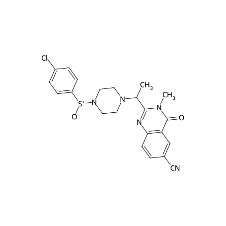 CC(c1nc2ccc(C#N)cc2c(=O)n1C)N1CCN([S+]([O-])c2ccc(Cl)cc2)CC1